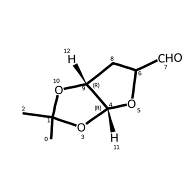 CC1(C)O[C@H]2OC(C=O)C[C@H]2O1